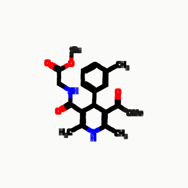 COC(=O)C1=C(C)NC(C)=C(C(=O)NCC(=O)OC(C)(C)C)C1c1cccc(C)c1